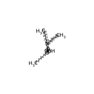 CCCCCCCCCCOP(=O)(O)OCCCN(CCCCCCCCC)CCCCCCCCC